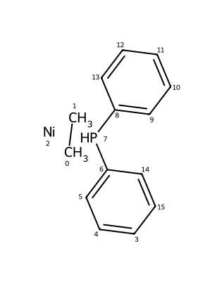 CC.[Ni].c1ccc(Pc2ccccc2)cc1